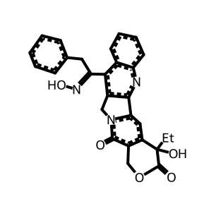 CCC1(O)C(=O)OCc2c1cc1n(c2=O)Cc2c-1nc1ccccc1c2C(Cc1ccccc1)=NO